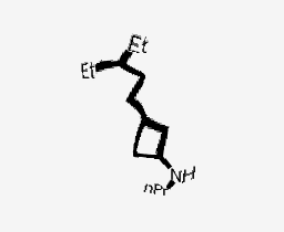 CCCNC1CC(CCC(CC)CC)C1